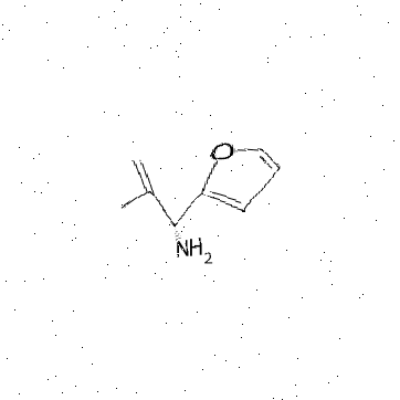 C=C(C)[C@@H](N)c1ccco1